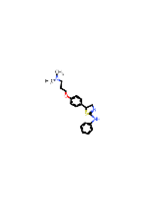 CN(C)CCCOc1ccc(C2CN=C(Nc3ccccc3)S2)cc1